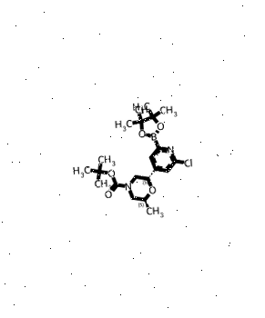 C[C@H]1CN(C(=O)OC(C)(C)C)C[C@H](c2cc(Cl)nc(B3OC(C)(C)C(C)(C)O3)c2)O1